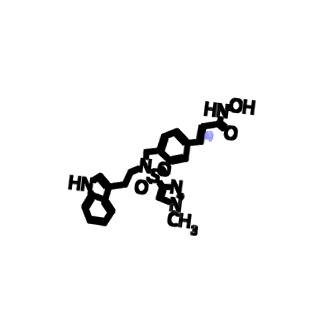 Cn1cnc(S(=O)(=O)N(CCc2c[nH]c3ccccc23)Cc2ccc(/C=C/C(=O)NO)cc2)c1